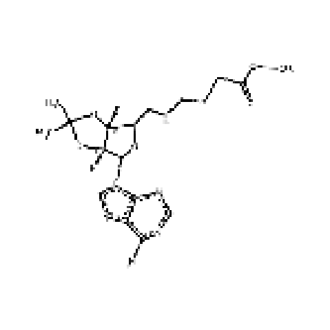 COC(=O)CCCNCC1OC(n2cnc3c(N)ncnc32)[C@@H]2OC(C)(C)O[C@H]12